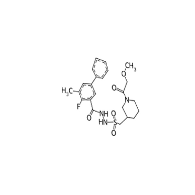 COCC(=O)N1CCCC(CS(=O)(=O)NNC(=O)c2cc(-c3ccccc3)cc(C)c2F)C1